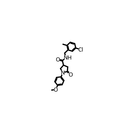 COc1ccc(N2CC(C(=O)NCc3cc(Cl)ccc3C)CC2=O)cc1